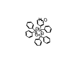 O.c1ccc([Si]2(c3ccccc3)O[Si](c3ccccc3)(c3ccccc3)O[Si](c3ccccc3)(c3ccccc3)O2)cc1